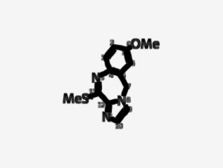 COc1ccc2c(c1)Cn1ccnc1C(SC)=N2